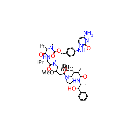 CC[C@H](C)C(C(CC(=O)N1CCC[C@H]1[C@H](OC)[C@@H](C)C(=O)N[C@H](C)[C@@H](O)c1ccccc1)OC)N(C)C(=O)[C@@H](NC(=O)C(C(C)C)N(C)C(=O)OCc1ccc(Nn2ccc(N)nc2=O)cc1)C(C)C